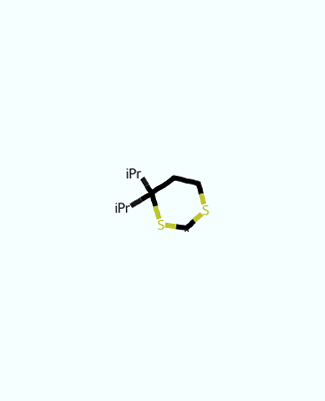 CC(C)C1(C(C)C)CCS[C]S1